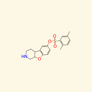 Cc1ccc(C)c(S(=O)(=O)Oc2ccc3c(c2)C2CCNCC2O3)c1